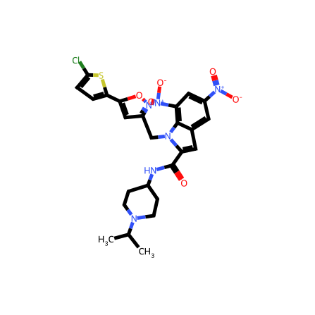 CC(C)N1CCC(NC(=O)c2cc3cc([N+](=O)[O-])cc([N+](=O)[O-])c3n2Cc2cc(-c3ccc(Cl)s3)on2)CC1